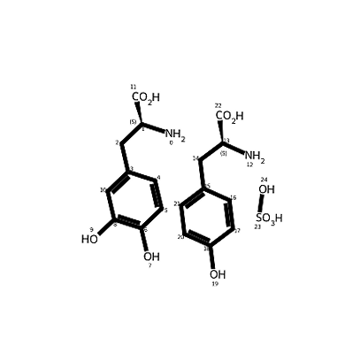 N[C@@H](Cc1ccc(O)c(O)c1)C(=O)O.N[C@@H](Cc1ccc(O)cc1)C(=O)O.O=S(=O)(O)O